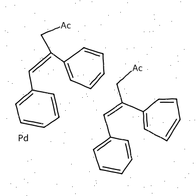 CC(=O)CC(=Cc1ccccc1)c1ccccc1.CC(=O)CC(=Cc1ccccc1)c1ccccc1.[Pd]